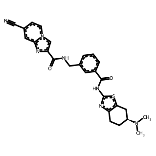 CN(C)[C@H]1CCc2nc(NC(=O)c3cccc(CNC(=O)c4cn5ccc(C#N)cc5n4)c3)sc2C1